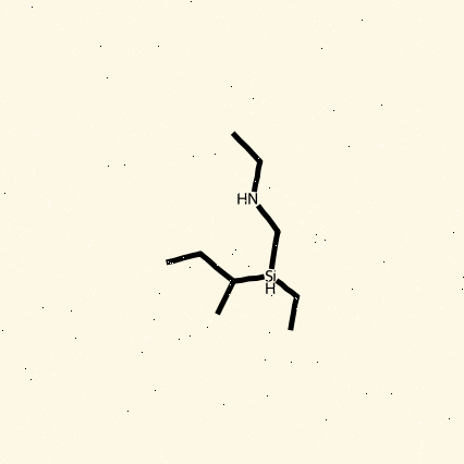 CCNC[SiH](CC)C(C)CC